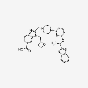 C[C@@H](Oc1cccc(N2CCN(Cc3nc4ccc(C(=O)O)cc4n3C[C@@H]3CCO3)CC2)n1)c1nc2ccccc2s1